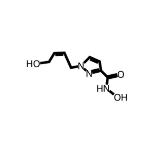 O=C(NO)c1ccn(C/C=C\CO)n1